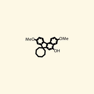 COc1ccc2c(c1)C1(CCCCCCC1)c1cc(O)c3cc(OC)ccc3c1-2